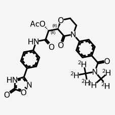 [2H]C([2H])([2H])N(C(=O)c1ccc(N2CCO[C@H]([C@@H](OC(C)=O)C(=O)Nc3ccc(-c4noc(=O)[nH]4)cc3)C2=O)cc1)C([2H])([2H])[2H]